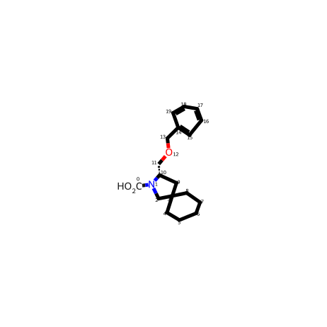 O=C(O)N1CC2(CCCCC2)C[C@H]1COCc1ccccc1